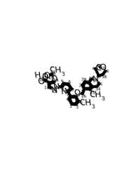 Cc1cccc(-c2cccc(-n3ncc(C(=O)O)c3OC(C)C)n2)c1OCc1ccc2c(c1C)CCN(C1CCOCC1)C2